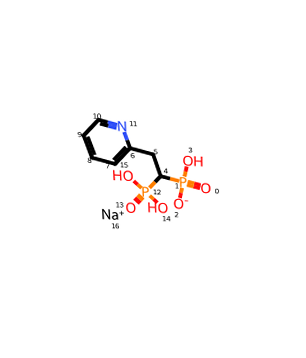 O=P([O-])(O)C(Cc1ccccn1)P(=O)(O)O.[Na+]